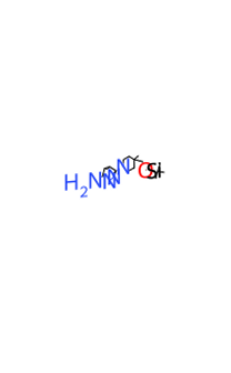 CC1(CO[Si](C)(C)C(C)(C)C)CCN(c2ccc(N)nn2)CC1